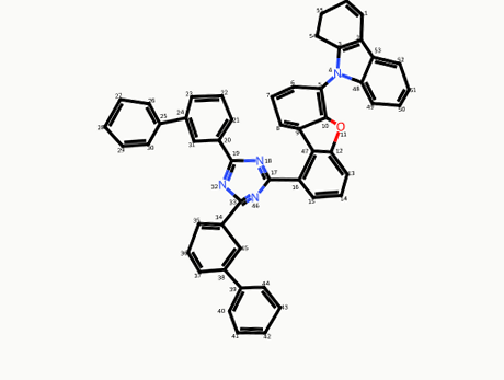 C1=Cc2c(n(-c3cccc4c3oc3cccc(-c5nc(-c6cccc(-c7ccccc7)c6)nc(-c6cccc(-c7ccccc7)c6)n5)c34)c3ccccc23)CC1